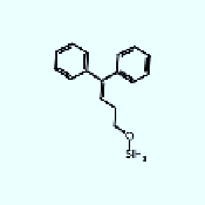 [SiH3]OCCC=C(c1ccccc1)c1ccccc1